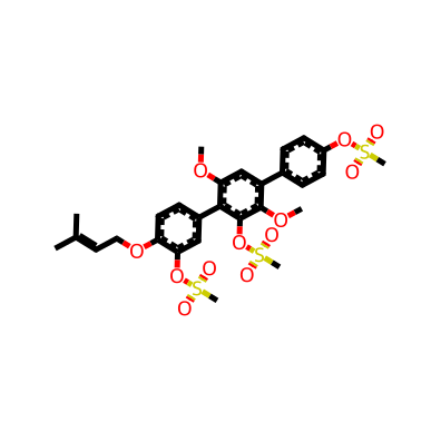 COc1cc(-c2ccc(OS(C)(=O)=O)cc2)c(OC)c(OS(C)(=O)=O)c1-c1ccc(OCC=C(C)C)c(OS(C)(=O)=O)c1